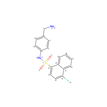 NCc1ccc(NS(=O)(=O)c2ccc(F)c3ccccc23)cc1